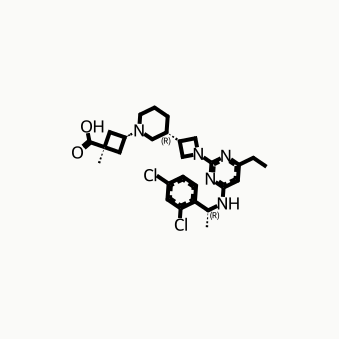 CCc1cc(N[C@H](C)c2ccc(Cl)cc2Cl)nc(N2CC([C@H]3CCCN([C@H]4C[C@](C)(C(=O)O)C4)C3)C2)n1